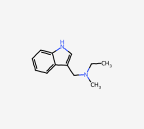 CCN(C)Cc1c[nH]c2ccccc12